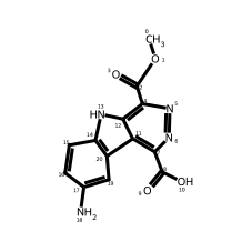 COC(=O)c1nnc(C(=O)O)c2c1[nH]c1ccc(N)cc12